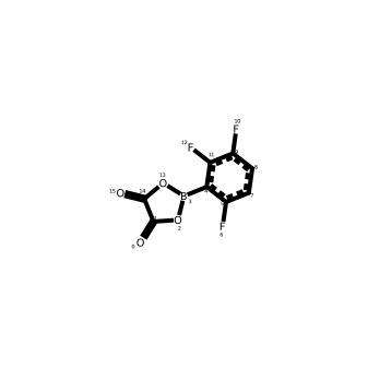 O=C1OB(c2c(F)ccc(F)c2F)OC1=O